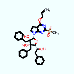 C=CCOc1nc(S(C)(=O)=O)nc2c1ccn2[C@@H]1O[C@H](C(O)Cc2ccccc2)[C@](O)(Cc2ccccc2)[C@@]1(O)Cc1ccccc1